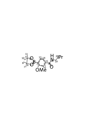 COc1cc(B2OC(C)(C)C(C)(C)O2)ccc1C(=O)NCC(C)C